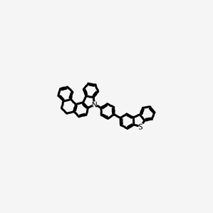 c1ccc2c(c1)CCc1ccc3c(c1-2)c1ccccc1n3-c1ccc(-c2ccc3sc4ccccc4c3c2)cc1